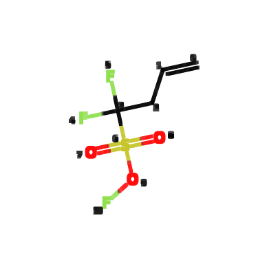 C=CCC(F)(F)S(=O)(=O)OF